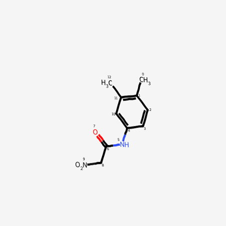 Cc1ccc(NC(=O)C[N+](=O)[O-])cc1C